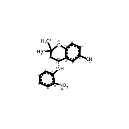 CC1(C)C[C@@H](Nc2ccccc2[N+](=O)[O-])c2cc(C#N)ccc2O1